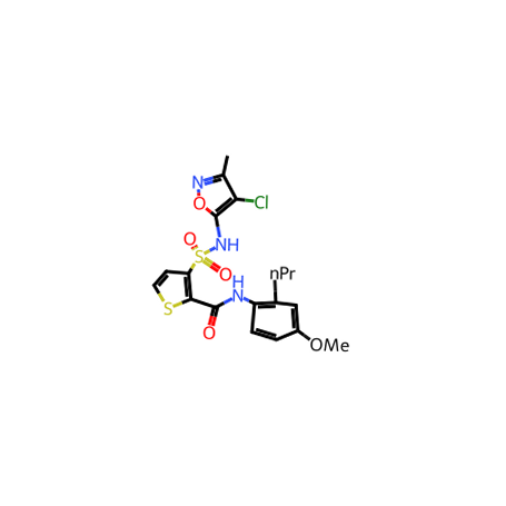 CCCc1cc(OC)ccc1NC(=O)c1sccc1S(=O)(=O)Nc1onc(C)c1Cl